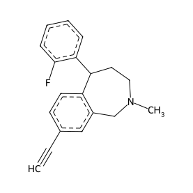 C#Cc1ccc2c(c1)CN(C)CCC2c1ccccc1F